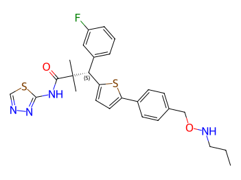 CCCNOCc1ccc(-c2ccc([C@@H](c3cccc(F)c3)C(C)(C)C(=O)Nc3nncs3)s2)cc1